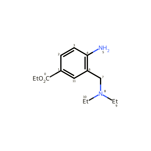 CCOC(=O)c1ccc(N)c(CN(CC)CC)c1